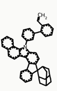 C=Cc1ccccc1-c1cccc(-n2c3ccc4c(c3c3ccc5ccccc5c32)-c2ccccc2C42C3CC4CC(C3)CC2C4)c1